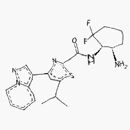 CC(C)c1sc(C(=O)N[C@@H]2[C@H](N)CCCC2(F)F)nc1-c1cnn2ccccc12